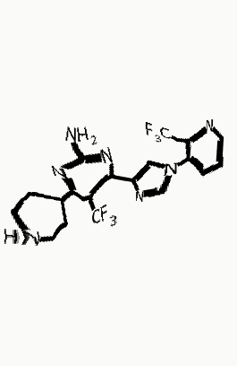 Nc1nc(-c2cn(-c3cccnc3C(F)(F)F)cn2)c(C(F)(F)F)c(C2CCNCC2)n1